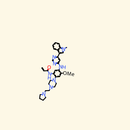 C=CC(=O)Nc1cc(Nc2cc(-c3cn(C)c4ccccc34)ncn2)c(OC)cc1N1CCN(CCN2CCCC2)CC1